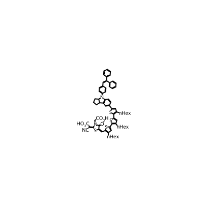 CCCCCCc1cc(-c2sc(-c3sc(-c4ccc5c(c4)C4CCCC4N5c4ccc(C=C(c5ccccc5)c5ccccc5)cc4)cc3CCCCCC)cc2CCCCCC)sc1/C=c1/s/c(=C(\C#N)C(=O)O)n(CC(=O)O)c1=O